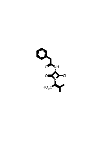 CC(C)=C(C(=O)O)N1C(=O)[C@H](NC(=O)Cc2ccccc2)[C@H]1Cl